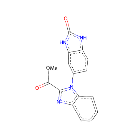 COC(=O)c1nc2ccccc2n1-c1ccc2[nH]c(=O)[nH]c2c1